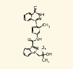 Cc1cc(NC(=O)c2nn(CC(C)(C)O)c3ccccc23)ccc1-c1n[nH]c(=O)c2ccccc12